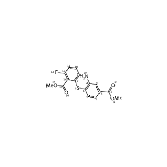 COC(=O)c1ccc(Sc2cccc(F)c2C(=O)OC)c(N)c1